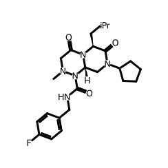 CC(C)C[C@H]1C(=O)N(C2CCCC2)C[C@H]2N1C(=O)CN(C)N2C(=O)NCc1ccc(F)cc1